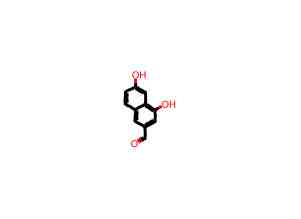 O=Cc1cc(O)c2cc(O)ccc2c1